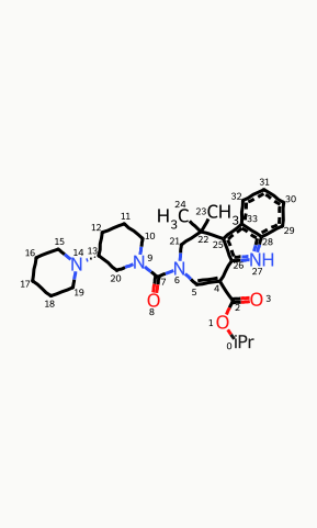 CC(C)OC(=O)C1=CN(C(=O)N2CCC[C@@H](N3CCCCC3)C2)CC(C)(C)c2c1[nH]c1ccccc21